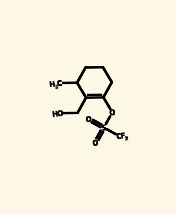 CC1CCCC(OS(=O)(=O)C(F)(F)F)=C1CO